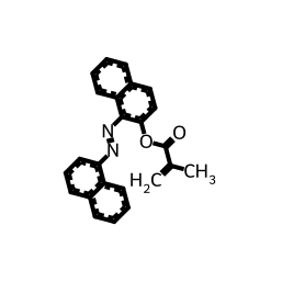 C=C(C)C(=O)Oc1ccc2ccccc2c1N=Nc1cccc2ccccc12